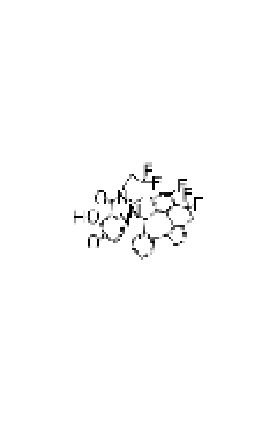 O=C1c2c(O)c(=O)ccn2N(C2c3ccccc3C3=C4C(=CC3)CC(F)(F)c3c(F)ccc2c34)C2CC(F)(F)CCN12